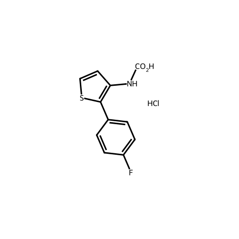 Cl.O=C(O)Nc1ccsc1-c1ccc(F)cc1